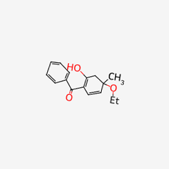 CCOC1(C)C=CC(C(=O)c2ccccc2)=C(O)C1